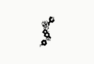 C[C@]12Cc3cnn(-c4ccc(F)cc4)c3C=C1CC[C@@H]2CN(CC(O)c1ccncc1)S(=O)(=O)CC(F)(F)F